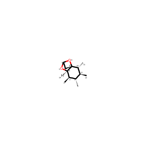 C[C@@H]1[C@@H](C)[C@H]2OC3C[C@@]2(O3)[C@H](C)[C@H]1C